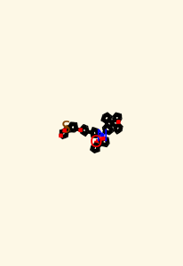 c1ccc(C2(c3ccccc3)c3ccccc3-c3cc(N(c4ccc(-c5ccc(-c6ccc7sc8ccccc8c7c6)cc5)cc4)c4cccc5c4oc4ccccc45)ccc32)cc1